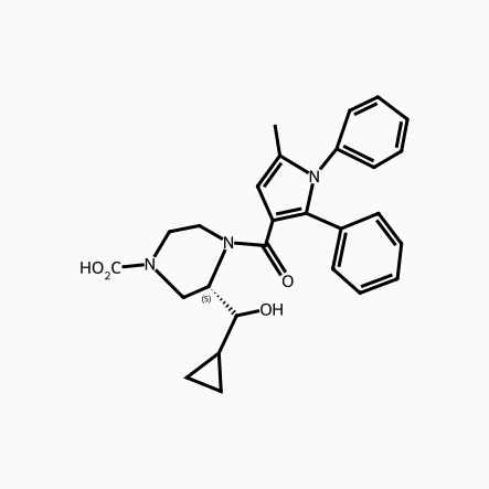 Cc1cc(C(=O)N2CCN(C(=O)O)C[C@H]2C(O)C2CC2)c(-c2ccccc2)n1-c1ccccc1